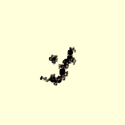 Cn1c(-c2cn(-c3ccc(N)nn3)nc2C(F)(F)F)cnc1C(=O)Nc1ccc(C(=O)N2CCN(C(=O)C3CC[N+](C)(C)CC3)CC2)c(Cl)c1.O=C([O-])C(F)(F)F